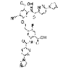 N#Cc1cc(C(=O)O)c(NC(=O)c2ccc(-n3ccnc3)nn2)cc1OCCc1cc(NC(=O)c2ccc(-n3ccnc3)nn2)c(C(=O)O)cc1F